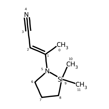 CC(=CC#N)N1CCC[Si]1(C)C